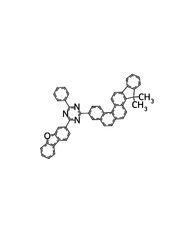 CC1(C)c2ccccc2-c2ccc3c(ccc4ccc5cc(-c6nc(-c7ccccc7)nc(-c7ccc8c(c7)oc7ccccc78)n6)ccc5c43)c21